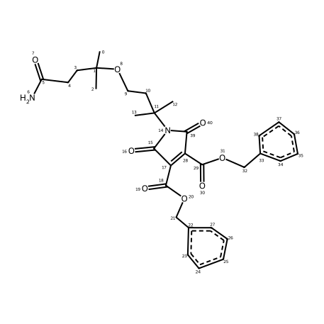 CC(C)(CCC(N)=O)OCCC(C)(C)N1C(=O)C(C(=O)OCc2ccccc2)=C(C(=O)OCc2ccccc2)C1=O